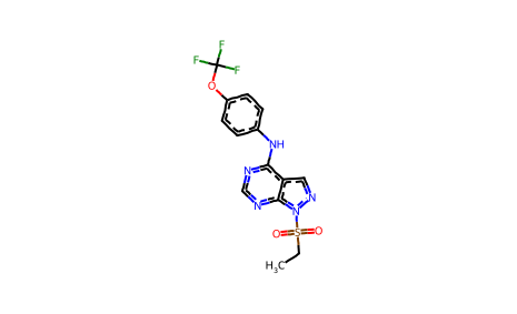 CCS(=O)(=O)n1ncc2c(Nc3ccc(OC(F)(F)F)cc3)ncnc21